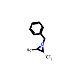 CC(=O)[C@@H]1[C@@H](C(F)(F)F)N1Cc1ccccc1